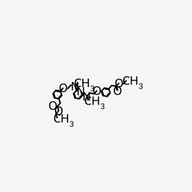 CCOC(=O)Cc1cccc(OCCN(C)c2cccc(N(C)CCOc3cccc(CC(=O)OCC)c3)n2)c1